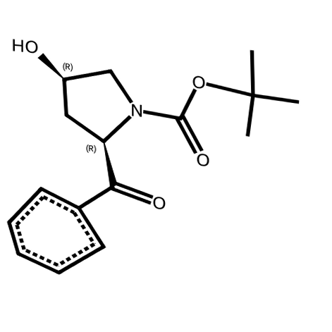 CC(C)(C)OC(=O)N1C[C@H](O)C[C@@H]1C(=O)c1ccccc1